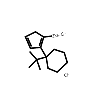 CC(C)(C)C1(C2=[C]([Zr+2])CC=C2)CCCCC1.[Cl-].[Cl-]